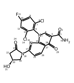 NC(=O)c1cn(-c2c(Cl)cc(F)cc2Cl)c2nc(N3C[C@@H](O)CC3=O)ccc2c1=O